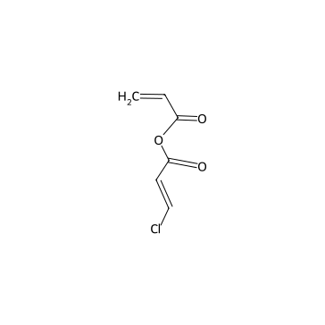 C=CC(=O)OC(=O)C=CCl